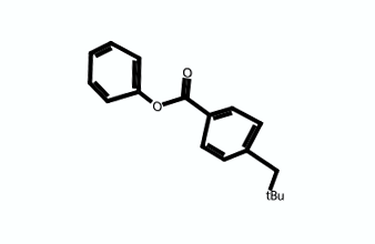 CC(C)(C)Cc1ccc(C(=O)Oc2ccccc2)cc1